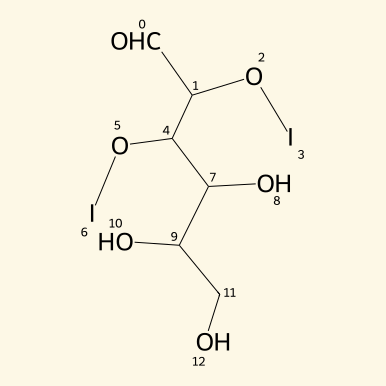 O=CC(OI)C(OI)C(O)C(O)CO